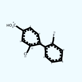 O=C(O)c1ccc(-c2ccccc2F)c(Cl)c1